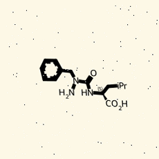 CC(C)C[C@H](NC(=O)N(N)Cc1ccccc1)C(=O)O